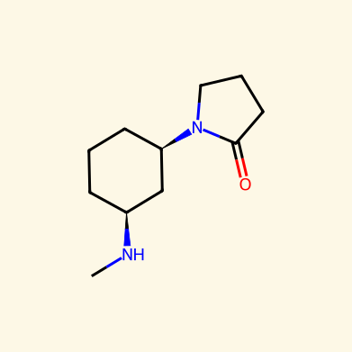 CN[C@H]1CCC[C@@H](N2CCCC2=O)C1